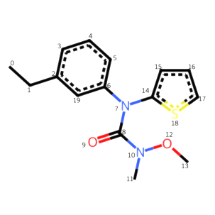 CCc1cccc(N(C(=O)N(C)OC)c2cccs2)c1